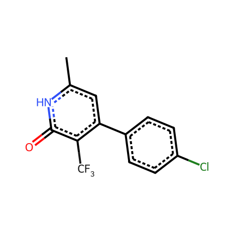 Cc1cc(-c2ccc(Cl)cc2)c(C(F)(F)F)c(=O)[nH]1